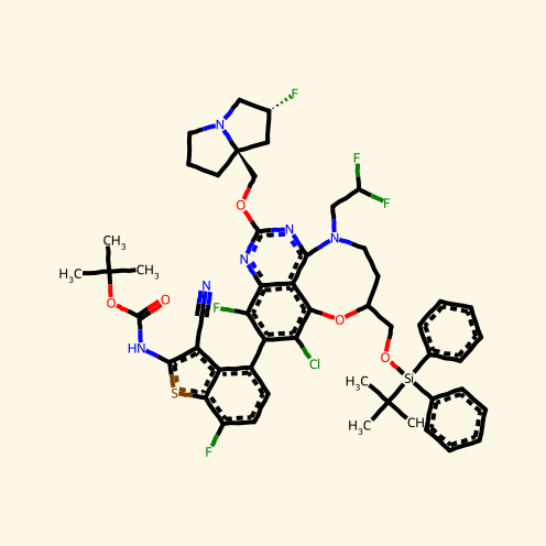 CC(C)(C)OC(=O)Nc1sc2c(F)ccc(-c3c(Cl)c4c5c(nc(OC[C@@]67CCCN6C[C@H](F)C7)nc5c3F)N(CC(F)F)CCC(CO[Si](c3ccccc3)(c3ccccc3)C(C)(C)C)O4)c2c1C#N